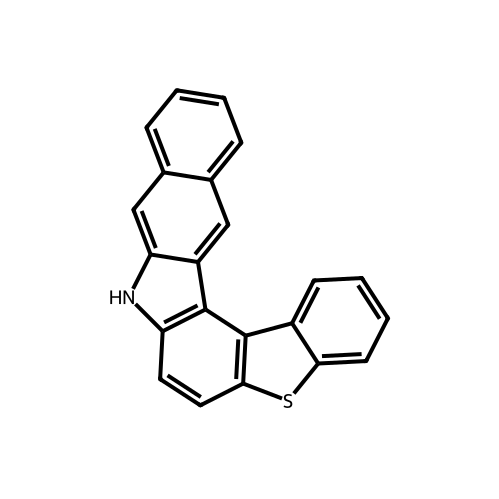 c1ccc2cc3c(cc2c1)[nH]c1ccc2sc4ccccc4c2c13